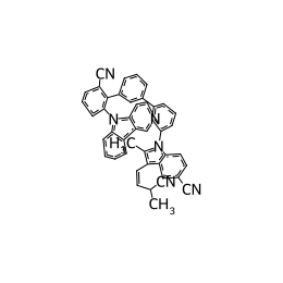 Cc1c(/C=C\C(C)C#N)c2cc(C#N)ccc2n1-c1cccc(-c2cccc(-c3c(C#N)cccc3-n3c4ccccc4c4cnccc43)c2)c1